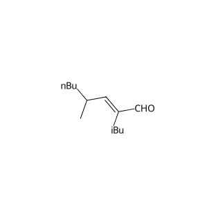 CCCCC(C)C=C(C=O)C(C)CC